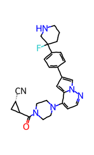 N#C[C@H]1CC1C(=O)N1CCN(c2ccnn3cc(-c4ccc(C5(F)CCCNC5)cc4)cc23)CC1